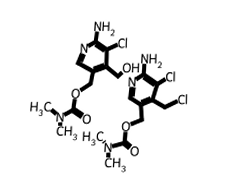 CN(C)C(=O)OCc1cnc(N)c(Cl)c1CCl.CN(C)C(=O)OCc1cnc(N)c(Cl)c1CO